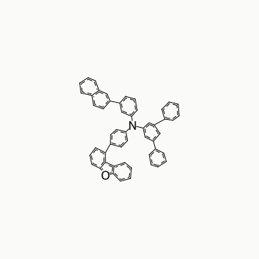 c1ccc(-c2cc(-c3ccccc3)cc(N(c3ccc(-c4cccc5oc6ccccc6c45)cc3)c3cccc(-c4ccc5ccccc5c4)c3)c2)cc1